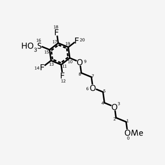 COCCOCCOCCOc1c(F)c(F)c(S(=O)(=O)O)c(F)c1F